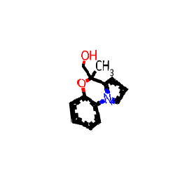 CC1(CO)Oc2ccccc2-n2cccc21